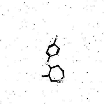 CC1CNCCCC1Oc1ccc(F)cc1